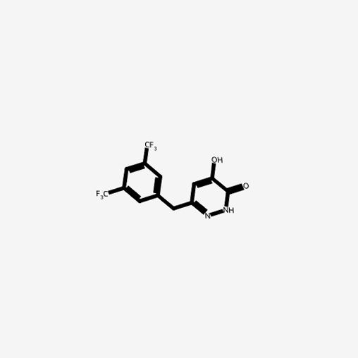 O=c1[nH]nc(Cc2cc(C(F)(F)F)cc(C(F)(F)F)c2)cc1O